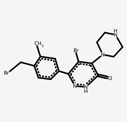 Cc1cc(-c2n[nH]c(=O)c(N3CCNCC3)c2Br)ccc1CBr